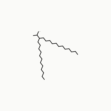 [CH2]C(C)C(CCCCCCCCCCCC)CCCCCCCCCCCC